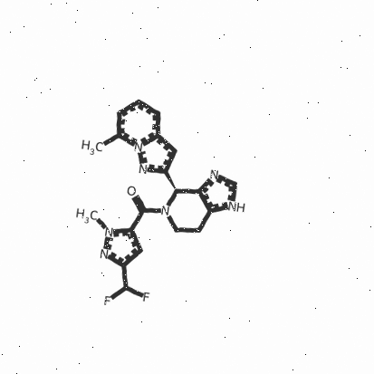 Cc1cccc2cc([C@H]3c4nc[nH]c4CCN3C(=O)c3cc(C(F)F)nn3C)nn12